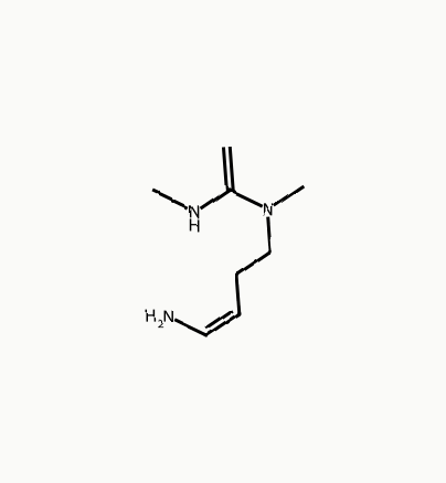 C=C(NC)N(C)CC/C=C\N